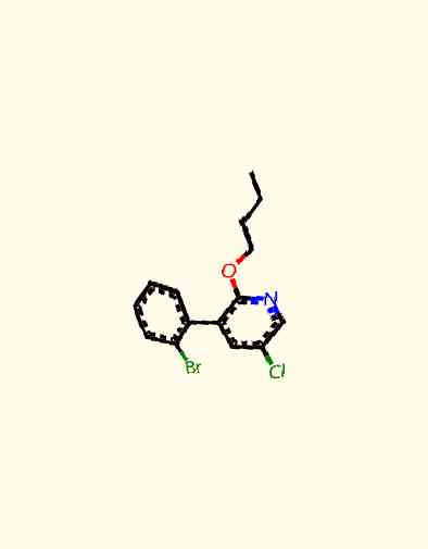 CCCCOc1ncc(Cl)cc1-c1ccccc1Br